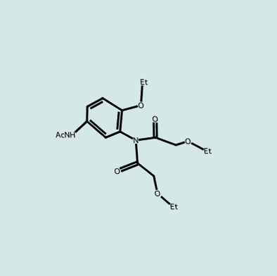 CCOCC(=O)N(C(=O)COCC)c1cc(NC(C)=O)ccc1OCC